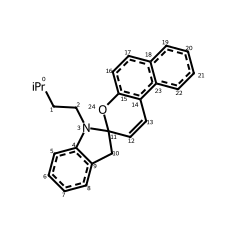 CC(C)CCN1c2ccccc2CC12C=Cc1c(ccc3ccccc13)O2